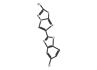 CCc1nn2cc(-c3nc4cc(Cl)ccc4o3)nc2s1